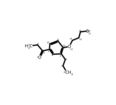 CCCc1cc(C(=O)CC)ccc1OCCCBr